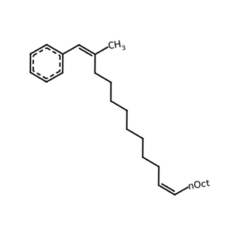 CCCCCCCC/C=C\CCCCCCCCC(C)=Cc1ccccc1